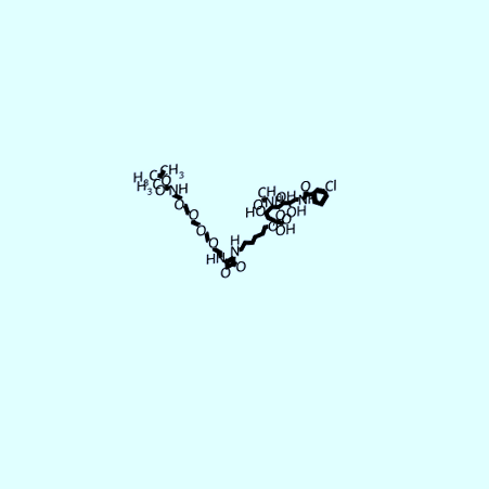 CC(=O)N[C@H]1[C@H]([C@H](O)[C@H](O)CNC(=O)c2cccc(Cl)c2)O[C@@](OCCCCCCNc2c(NCCOCCOCCOCCOCCNC(=O)OC(C)(C)C)c(=O)c2=O)(C(=O)O)C[C@@H]1O